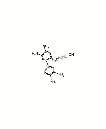 Cl.Cl.Cl.Cl.Nc1ccc(-c2ccc(N)c(N)c2)cc1N.O